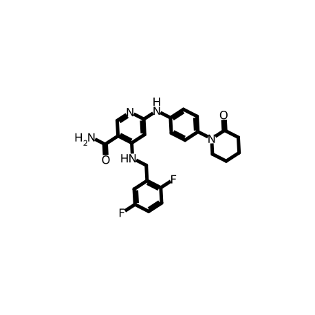 NC(=O)c1cnc(Nc2ccc(N3CCCCC3=O)cc2)cc1NCc1cc(F)ccc1F